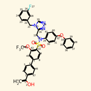 C=C(O)c1ccc(-c2ccc(S(=O)(=O)N(Cc3nncn3Cc3cccc(F)c3)c3ccc(Oc4ccccc4)cc3)c(OC(F)(F)F)c2)cc1